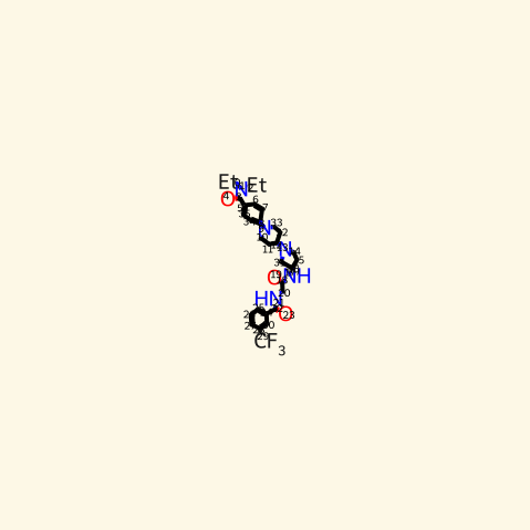 CCN(CC)C(=O)c1ccc(N2CCC(N3CC[C@@H](NC(=O)CNC(=O)c4cccc(C(F)(F)F)c4)C3)CC2)cc1